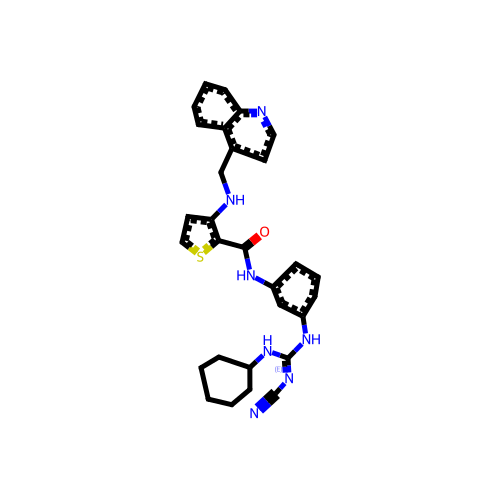 N#C/N=C(/Nc1cccc(NC(=O)c2sccc2NCc2ccnc3ccccc23)c1)NC1CCCCC1